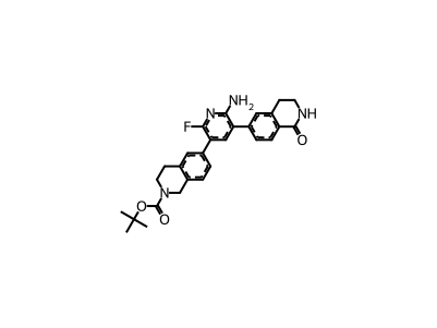 CC(C)(C)OC(=O)N1CCc2cc(-c3cc(-c4ccc5c(c4)CCNC5=O)c(N)nc3F)ccc2C1